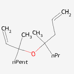 C=CCC(C)(CCC)OC(C)(C=C)CCCCC